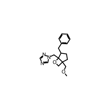 COCC12CCC(Cc3ccccc3)C1(Cn1cncn1)OC2